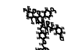 COc1ccc(C(NC(=O)C(Cc2ccc(OCC(=O)O)cc2)NC(=O)C(F)(F)c2cccc(Cl)c2)C(=O)NC(C(=O)C(F)(F)F)C(C)C)cc1